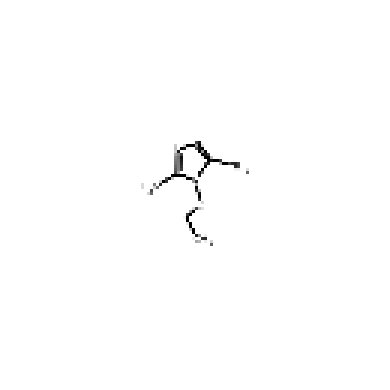 CCOn1c(N)cnc1N